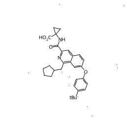 CC(C)(C)c1ccc(Oc2ccc3cc(C(=O)NC4(C(=O)O)CC4)nc(CC4CCCC4)c3c2)cc1